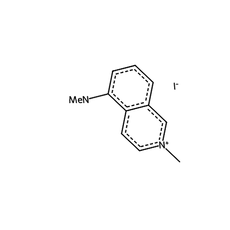 CNc1cccc2c[n+](C)ccc12.[I-]